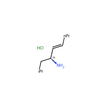 CCCC=C[C@@H](N)CC(C)C.Cl